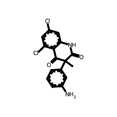 CC1(c2cccc(N)c2)C(=O)Nc2cc(Cl)cc(Cl)c2C1=O